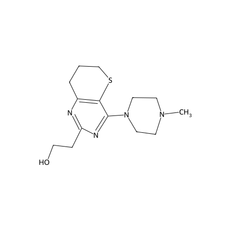 CN1CCN(c2nc(CCO)nc3c2SCCC3)CC1